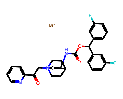 O=C(NC1C[N+]2(CC(=O)c3ccccn3)CCC1CC2)OC(c1cccc(F)c1)c1cccc(F)c1.[Br-]